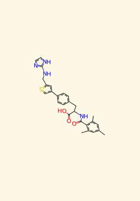 Cc1cc(C)c(C(=O)NC(Cc2ccc(-c3csc(CNc4ncc[nH]4)c3)cc2)C(=O)O)c(C)c1